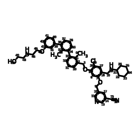 Cc1c(COc2cc(OCc3cncc(C#N)c3)c(CNC3CCCCC3)cc2Cl)cccc1-c1cccc(-c2cccc(OCCNCCO)c2)c1C